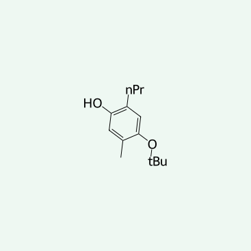 CCCc1cc(OC(C)(C)C)c(C)cc1O